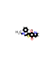 CCN(Cc1cc2c(s1)C(=O)c1cccnc1C2=O)C1CCCCC1